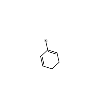 BrC1=CCCC=C1